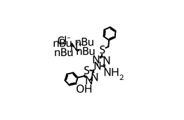 CCCC[N+](CCCC)(CCCC)CCCC.Nc1nc(SCc2ccccc2)nn1-c1nnc(-c2ccccc2O)s1.[Cl-]